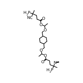 C=NC(C)(P)CCC(=O)OC(C)OCC1CCC(COC(C)OC(=O)CCC(C)(P)C#N)CC1